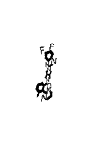 Cc1cccc(C(=O)N2CC3CN(c4cnc5cc(F)c(F)cc5n4)CC3C2)c1-c1ncccn1